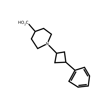 O=C(O)C1CCN(C2CC(c3ccccc3)C2)CC1